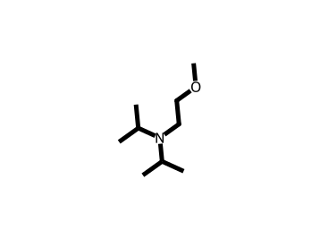 COCCN(C(C)C)C(C)C